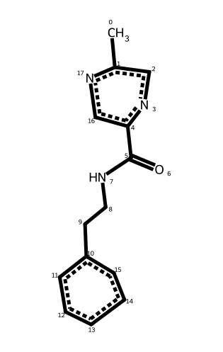 Cc1cnc(C(=O)NCCc2ccccc2)cn1